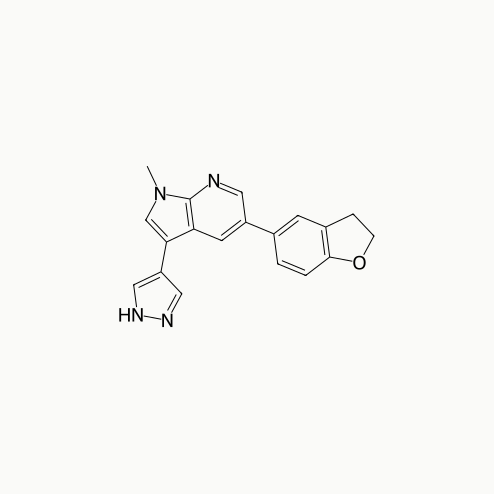 Cn1cc(-c2cn[nH]c2)c2cc(-c3ccc4c(c3)CCO4)cnc21